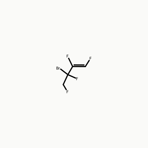 F/C=C(\F)C(F)(Br)CF